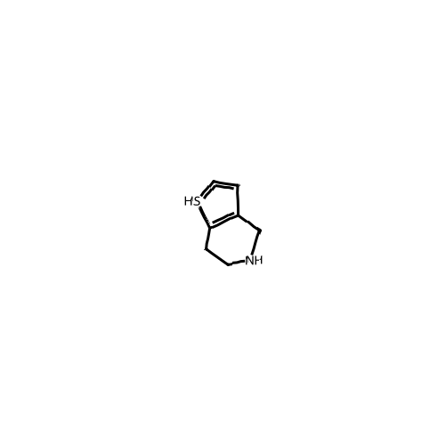 C1=CC2=C(CCNC2)[SH]=1